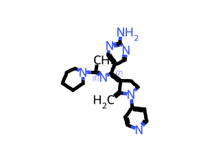 C=C1/C(=C(\N=C(/C)N2CCCCC2)c2cnc(N)nc2)CCN1c1ccncc1